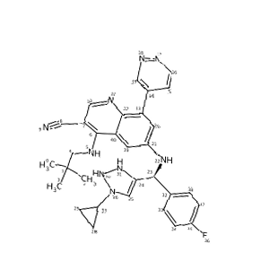 CC(C)(C)CNc1c(C#N)cnc2c(-c3ccnnc3)cc(N[C@H](C3=CN(C4CC4)NN3)c3ccc(F)cc3)cc12